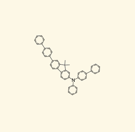 CC1(C)c2cc(-c3ccc(-c4ccccc4)cc3)ccc2-c2ccc(N(c3ccccc3)c3ccc(-c4ccccc4)cc3)cc21